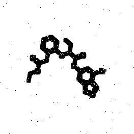 CCOC(=O)Cc1ccccc1OC(CC)C(=O)Oc1cc(Br)c2cocc2c1